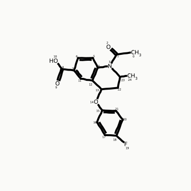 CC(=O)N1c2ccc(C(=O)O)cc2C(Oc2ccc(F)cc2)CC1C